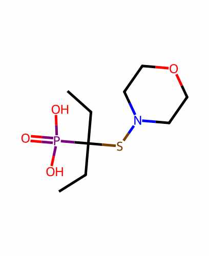 CCC(CC)(SN1CCOCC1)P(=O)(O)O